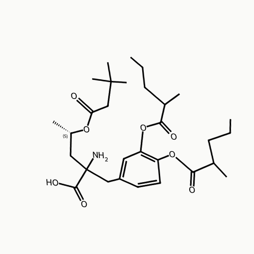 CCCC(C)C(=O)Oc1ccc(CC(N)(C[C@H](C)OC(=O)CC(C)(C)C)C(=O)O)cc1OC(=O)C(C)CCC